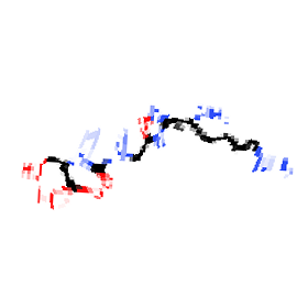 NCCCC[C@H](N)c1noc(CNC(=O)NC(CO)C(=O)O)n1